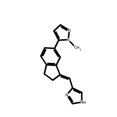 Cn1nccc1-c1ccc2c(c1)/C(=C/c1c[nH]cn1)CC2